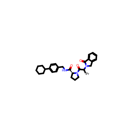 CC(C)C(C(=O)N1CCC[C@H]1C(=O)NCc1ccc(C2CCCCC2)cc1)N1Cc2ccccc2C1=O